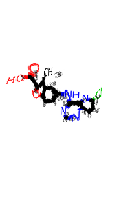 Cc1c(C(=O)O)oc2ccc(Nc3ncnc4ccc(Cl)nc34)cc12